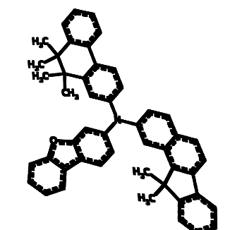 CC1(C)c2ccccc2-c2ccc3ccc(N(c4ccc5c(c4)C(C)(C)C(C)(C)c4ccccc4-5)c4ccc5c(c4)oc4ccccc45)cc3c21